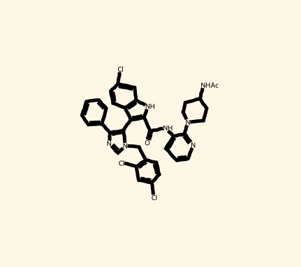 CC(=O)NC1CCN(c2ncccc2NC(=O)c2[nH]c3cc(Cl)ccc3c2-c2c(-c3ccccc3)ncn2Cc2ccc(Cl)cc2Cl)CC1